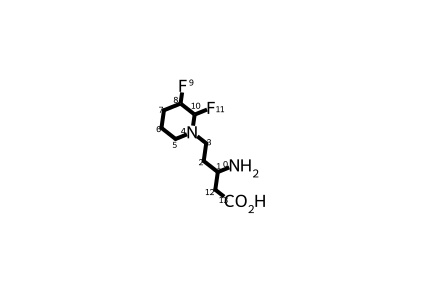 NC(CCN1CCCC(F)C1F)CC(=O)O